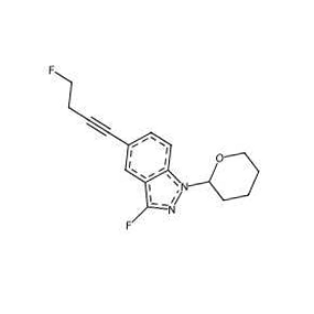 FCCC#Cc1ccc2c(c1)c(F)nn2C1CCCCO1